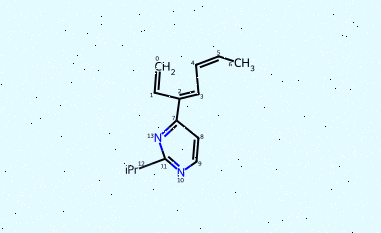 C=C/C(=C\C=C/C)c1ccnc(C(C)C)n1